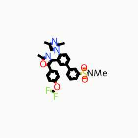 CNS(=O)(=O)c1cccc(-c2ccc(-n3cc(C)nc3C)c(-c3nc(C)oc3-c3ccc(OC(F)F)cc3)c2)c1